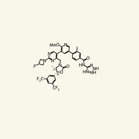 COc1ncc(-c2ccc(C(=O)NC3=NNNN3)cc2C)cc1-c1cnc(N2CC(F)C2)nc1CN1C(=O)O[C@H](c2cc(C(F)(F)F)cc(C(F)(F)F)c2)[C@@H]1C